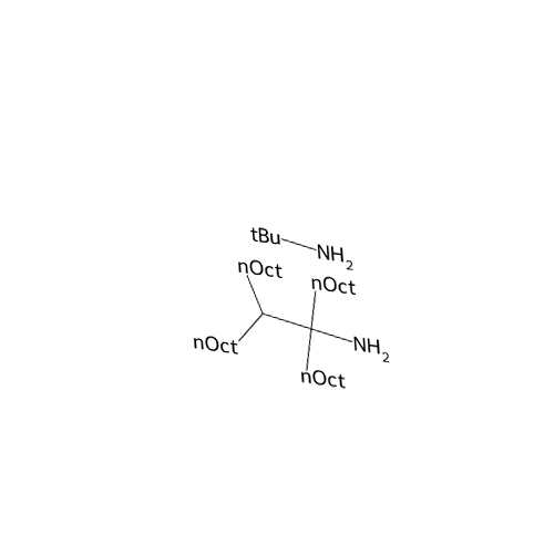 CC(C)(C)N.CCCCCCCCC(CCCCCCCC)C(N)(CCCCCCCC)CCCCCCCC